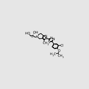 Cc1c2c(nn1-c1nnc(-c3ccc(OC(C)C)c(Cl)c3)s1)CCN(C[C@@H](O)CO)C2